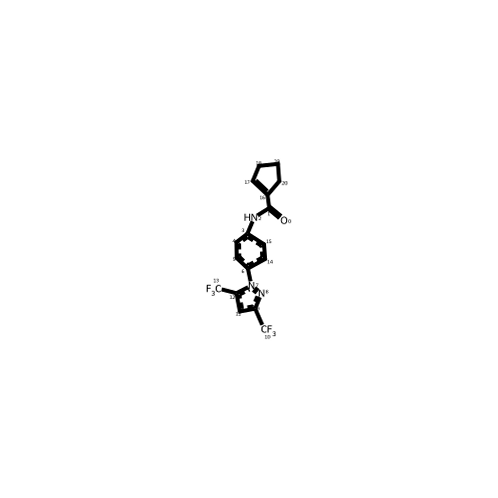 O=C(Nc1ccc(-n2nc(C(F)(F)F)cc2C(F)(F)F)cc1)C1=CCCC1